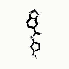 CN1CCC(NC(=O)c2ccc3nc[nH]c3c2)C1